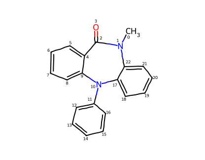 CN1C(=O)c2ccccc2N(c2ccccc2)c2ccccc21